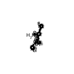 NC(=O)c1nn(CC(=O)N2C[C@H](F)C[C@H]2C(=O)NCc2cccc(Cl)c2F)c2ccc(C#Cc3cccc(F)n3)cc12